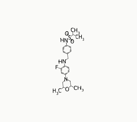 CC1CN(c2ccc(NCc3ccc(NS(=O)(=O)C(C)C)cc3)c(F)c2)CC(C)O1